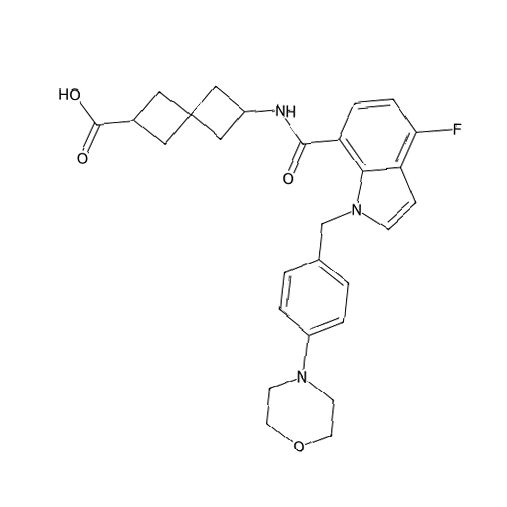 O=C(NC1CC2(C1)CC(C(=O)O)C2)c1ccc(F)c2ccn(Cc3ccc(N4CCOCC4)cc3)c12